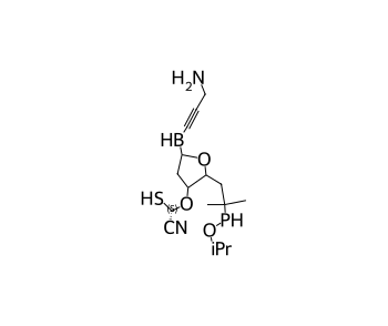 CC(C)OPC(C)(C)CC1OC(BC#CCN)CC1O[C@@H](S)C#N